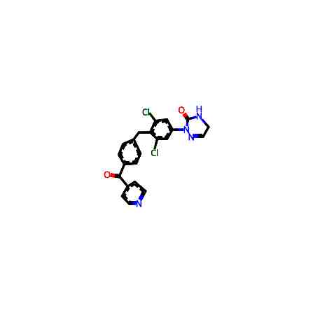 O=C(c1ccncc1)c1ccc(Cc2c(Cl)cc(N3N=CCNC3=O)cc2Cl)cc1